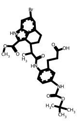 COC(=O)c1[nH]c2cc(Br)cc3c2c1C(C(C)C(=O)Nc1ccc(NC(=O)OC(C)(C)C)cc1CCC(=O)O)CC3